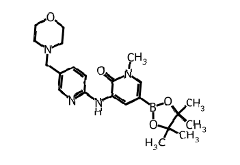 Cn1cc(B2OC(C)(C)C(C)(C)O2)cc(Nc2ccc(CN3CCOCC3)cn2)c1=O